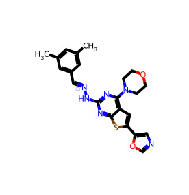 Cc1cc(C)cc(/C=N/Nc2nc(N3CCOCC3)c3cc(-c4cnco4)sc3n2)c1